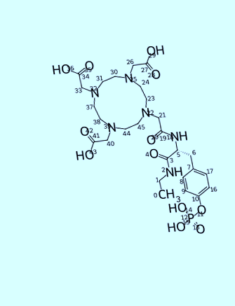 CCNC(=O)[C@@H](Cc1ccc(OP(=O)(O)O)cc1)NC(=O)CN1CCN(CC(=O)O)CCN(CC(=O)O)CCN(CC(=O)O)CC1